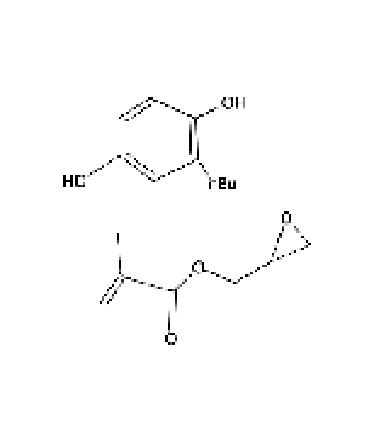 C=C(C)C(=O)OCC1CO1.CCCCc1cc(O)ccc1O